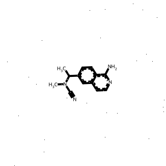 CC(c1ccc2c(N)nccc2c1)N(C)C#N